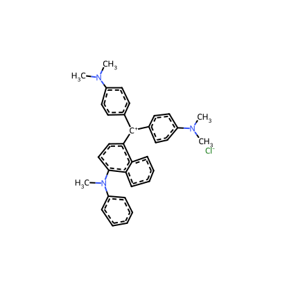 CN(C)c1ccc([C+](c2ccc(N(C)C)cc2)c2ccc(N(C)c3ccccc3)c3ccccc23)cc1.[Cl-]